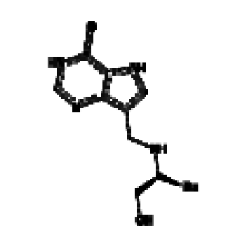 CC[C@H](C)[C@@H](CO)NCc1c[nH]c2c(=O)[nH]cnc12